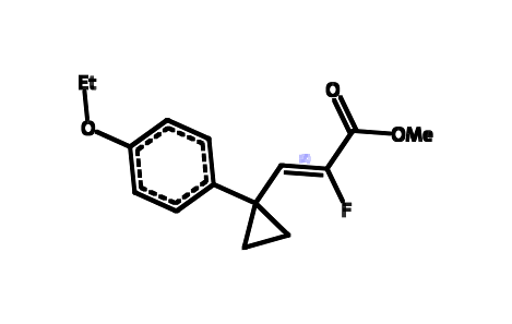 CCOc1ccc(C2(/C=C(\F)C(=O)OC)CC2)cc1